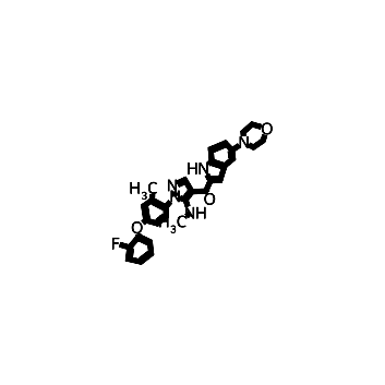 CNc1c(C(=O)c2cc3cc(N4CCOCC4)ccc3[nH]2)cnn1-c1ccc(Oc2ccccc2F)cc1C